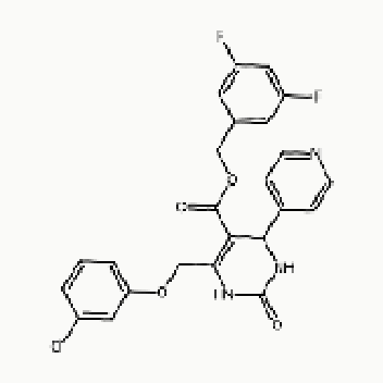 O=C1NC(COc2cccc(Cl)c2)=C(C(=O)OCc2cc(F)cc(F)c2)C(c2ccncc2)N1